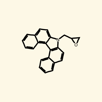 c1ccc2c(c1)ccc1c2c2c3ccccc3ccc2n1CC1CO1